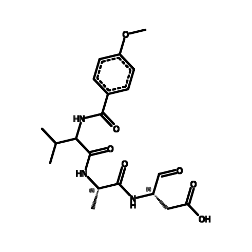 COc1ccc(C(=O)NC(C(=O)N[C@@H](C)C(=O)N[C@H](C=O)CC(=O)O)C(C)C)cc1